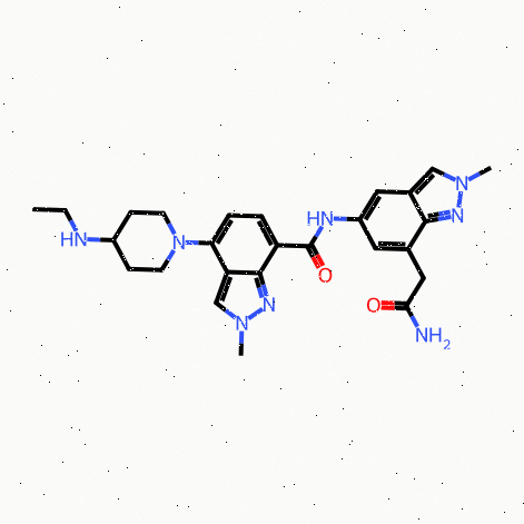 CCNC1CCN(c2ccc(C(=O)Nc3cc(CC(N)=O)c4nn(C)cc4c3)c3nn(C)cc23)CC1